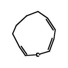 [CH]1/C=C\C=C/CCCC/C=C\1